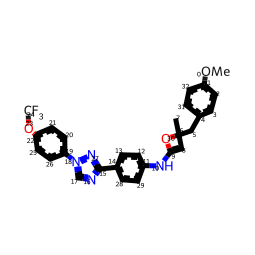 COc1ccc(CC2(C)C=C(Nc3ccc(-c4ncn(-c5ccc(OC(F)(F)F)cc5)n4)cc3)O2)cc1